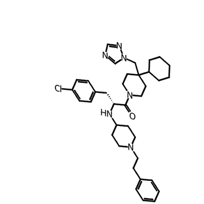 O=C([C@@H](Cc1ccc(Cl)cc1)NC1CCN(CCc2ccccc2)CC1)N1CCC(Cn2cncn2)(C2CCCCC2)CC1